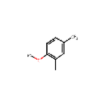 CCOc1ccc(C(F)(F)F)cc1C